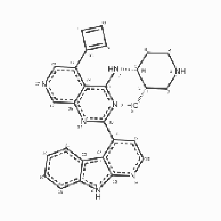 O[C@H]1CNCC[C@H]1Nc1nc(-c2ccnc3[nH]c4ccccc4c23)nc2cncc(C3=CC=C3)c12